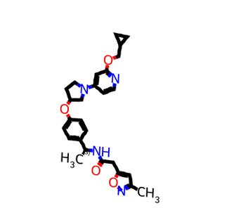 Cc1cc(CC(=O)N[C@@H](C)c2ccc(OC3CCN(c4ccnc(OCC5CC5)c4)C3)cc2)on1